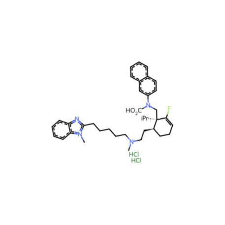 CC(C)[C@]1(CN(C(=O)O)c2ccc3ccccc3c2)C(F)=CCC[C@H]1CCN(C)CCCCCc1nc2ccccc2n1C.Cl.Cl